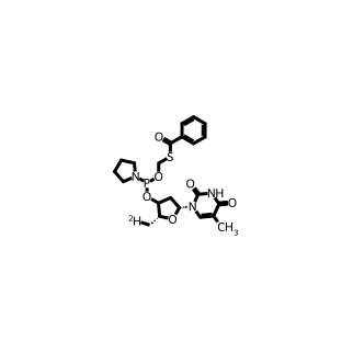 [2H]C[C@H]1O[C@@H](n2cc(C)c(=O)[nH]c2=O)CC1OP(OCSC(=O)c1ccccc1)N1CCCC1